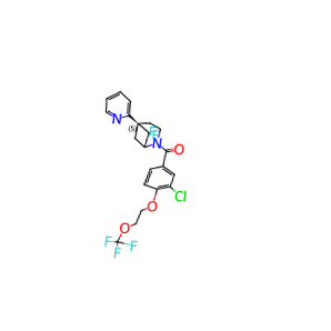 O=C(c1ccc(OCCOC(F)(F)F)c(Cl)c1)N1CC[C@@]2(c3ccccn3)CC1C2(F)F